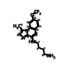 Cc1nnc2c(NCCCCN)nc3ccc(OC(F)(F)F)cc3n12